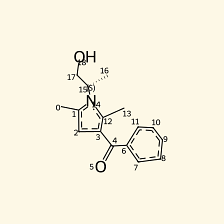 Cc1cc(C(=O)c2ccccc2)c(C)n1[C@@H](C)CO